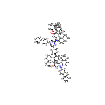 c1ccc(-c2ccc(-c3nc(-c4ccc(-c5cccc6c5-c5ccccc5C65c6ccccc6Oc6cc7c(cc65)c5c6ccccc6ccc5n7-c5ccc6c(c5)sc5ccccc56)cc4)nc(-n4c5cc6c(cc5c5c7ccccc7ccc54)C4(c5ccccc5O6)c5ccccc5-c5ccccc54)n3)cc2)cc1